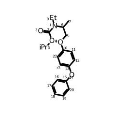 CCN(C(=O)OC(C)C)C(C)COc1ccc(Oc2ccccc2)cc1